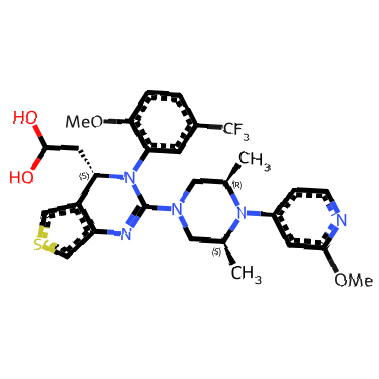 COc1cc(N2[C@H](C)CN(C3=Nc4cscc4[C@H](CC(O)O)N3c3cc(C(F)(F)F)ccc3OC)C[C@@H]2C)ccn1